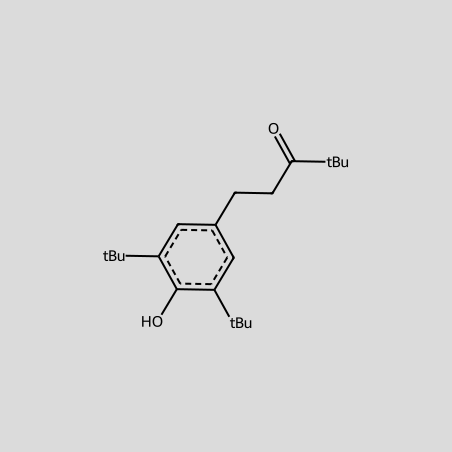 CC(C)(C)C(=O)CCc1cc(C(C)(C)C)c(O)c(C(C)(C)C)c1